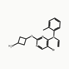 C=CN(c1ccccc1C)c1nc(OC2CC(N)C2)ncc1Br